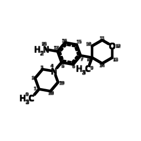 CC1CCN(c2cc(C3(C)CCOCC3)ccc2N)CC1